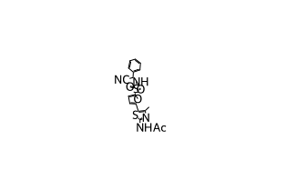 CC(=O)Nc1nc(C)c(-c2ccc(S(=O)(=O)NC(C#N)c3ccccc3)o2)s1